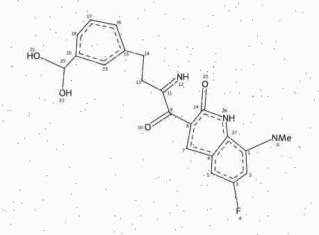 CNc1cc(F)cc2cc(C(=O)C(=N)CCc3cccc(C(O)O)c3)c(=O)[nH]c12